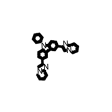 c1ccc(-n2c3ccc(-c4cn5ccccc5n4)cc3c3cc(-c4cn5ccccc5n4)ccc32)cc1